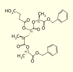 C[C@H](OC(=O)[C@H](C[C@H](C)C(=O)O[C@@H](C)C(=O)OCc1ccccc1)OC(=O)CCC(=O)O)C(=O)OCc1ccccc1